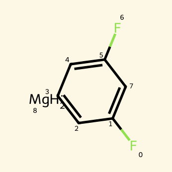 Fc1c[c]cc(F)c1.[MgH2]